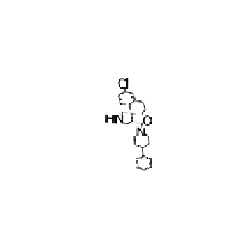 O=C([C@@H]1CNC[C@]12CCCc1cc(Cl)ccc12)N1CCC(c2ccccc2)CC1